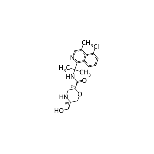 Cc1cnc(C(C)(C)NC(=O)[C@@H]2CN[C@H](CO)CO2)c2cccc(Cl)c12